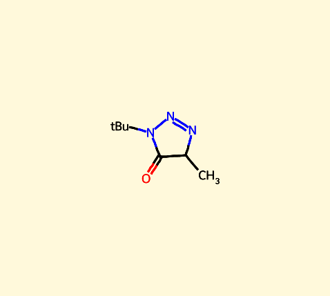 CC1N=NN(C(C)(C)C)C1=O